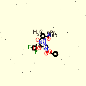 CCCN(CCC)C(=O)c1cc(C)cc(C(=O)N[C@@H](Cc2cc(F)cc(F)c2)[C@H](O)[C@H]2CN(C(=O)OCc3ccccc3)CCN2)c1